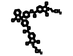 C=CCN1C(=O)c2ccc(C(=O)Oc3ccc(C4(c5ccc(OC(=O)c6ccc7c(c6)C(=O)N(CC=C)C7=O)cc5)OC(=O)c5ccccc54)cc3)cc2C1=O